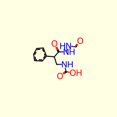 O=CNNC(=O)C(CNC(=O)O)c1ccccc1